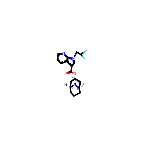 CN1[C@@H]2CCC[C@H]1C[C@H](OC(=O)c1cn(CC(F)F)c3ncccc13)C2